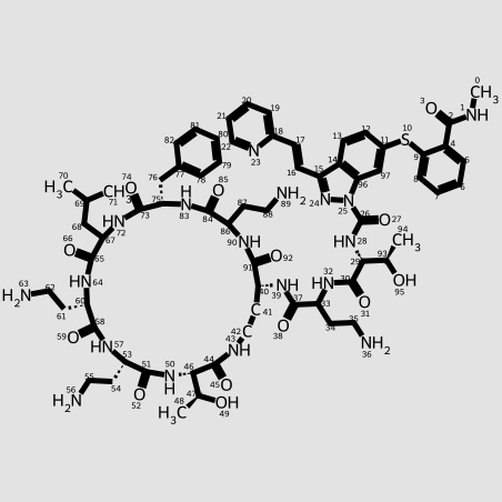 CNC(=O)c1ccccc1Sc1ccc2c(/C=C/c3ccccn3)nn(C(=O)N[C@@H](C(=O)NC(CCN)C(=O)N[C@@H]3CCNC(=O)[C@H]([C@H](C)O)NC(=O)[C@H](CCN)NC(=O)[C@H](CCN)NC(=O)C(CC(C)C)NC(=O)[C@H](Cc4ccccc4)NC(=O)C(CCN)NC3=O)[C@@H](C)O)c2c1